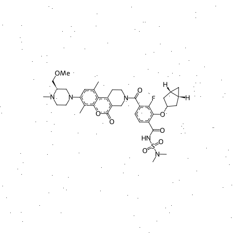 COC[C@H]1CN(c2cc(C)c3c4c(c(=O)oc3c2C)CN(C(=O)c2ccc(C(=O)NS(=O)(=O)N(C)C)c(OC3C[C@@H]5C[C@@H]5C3)c2F)CC4)CCN1C